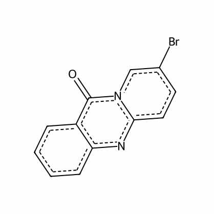 O=c1c2ccccc2nc2ccc(Br)cn12